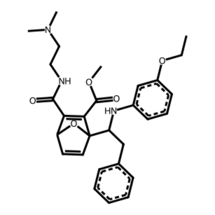 CCOc1cccc(NC(Cc2ccccc2)C23C=CC(O2)C(C(=O)NCCN(C)C)=C3C(=O)OC)c1